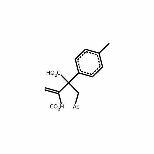 C=C(C(=O)O)C(CC(C)=O)(C(=O)O)c1ccc(C)cc1